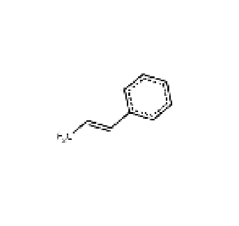 FC(F)(F)/C=C/c1[c]cccc1